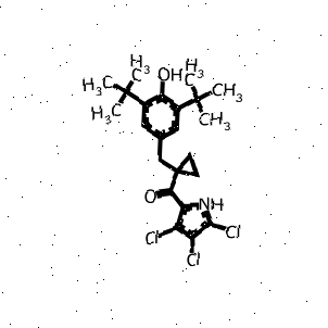 CC(C)(C)c1cc(CC2(C(=O)c3[nH]c(Cl)c(Cl)c3Cl)CC2)cc(C(C)(C)C)c1O